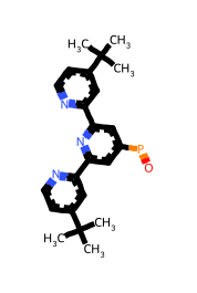 CC(C)(C)c1ccnc(-c2cc(P=O)cc(-c3cc(C(C)(C)C)ccn3)n2)c1